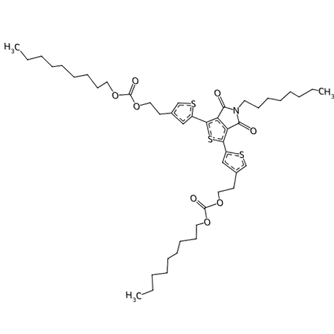 CCCCCCCCCOC(=O)OCCc1csc(-c2sc(-c3cc(CCOC(=O)OCCCCCCCCC)cs3)c3c2C(=O)N(CCCCCCCC)C3=O)c1